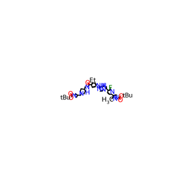 CCc1cc(Nc2nccn3c(-c4ccc(-c5cn(C(=O)OC(C)(C)C)nc5C)nc4F)cnc23)ccc1C(=O)NCC1CCN(CC2CN(C(=O)OC(C)(C)C)C2)CC1